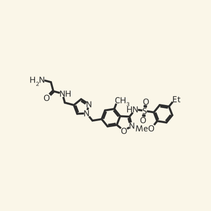 CCc1ccc(OC)c(S(=O)(=O)Nc2noc3cc(Cn4cc(CNC(=O)CN)cn4)cc(C)c23)c1